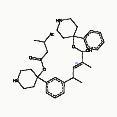 CC(=O)C(C)CC(=O)OC1(c2cccc(C(C)/C=C(\C)C(O)OC3(c4ccccc4)CCNCC3)c2)CCNCC1